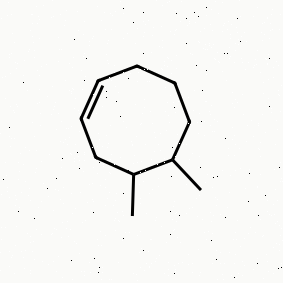 CC1CC=CCCCC1C